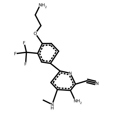 CNc1cc(-c2ccc(OCCN)c(C(F)(F)F)c2)nc(C#N)c1N